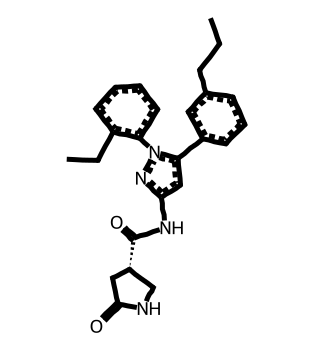 CCCc1cccc(-c2cc(NC(=O)[C@@H]3CNC(=O)C3)nn2-c2ccccc2CC)c1